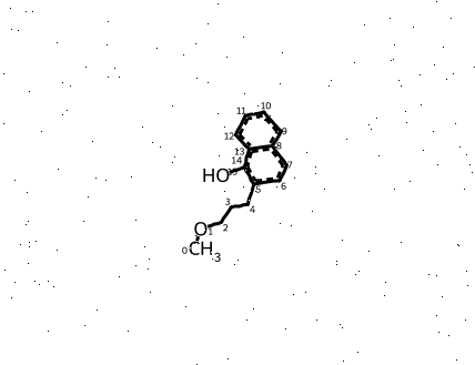 COCCCc1ccc2ccccc2c1O